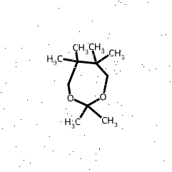 CC1(C)OCC(C)(C)C(C)(C)CO1